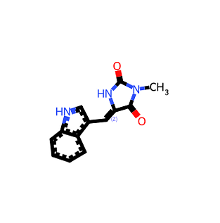 CN1C(=O)N/C(=C\c2c[nH]c3ccccc23)C1=O